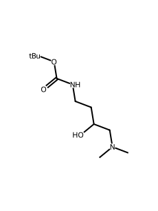 CN(C)CC(O)CCNC(=O)OC(C)(C)C